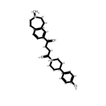 CN1CCc2ccc(C(=O)CCC(=O)N3CCC(c4ccc(Cl)cc4)CC3)cc2CC1